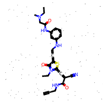 C#CCNC(=O)C(=C=c1sc(=C=CNc2cccc(NC(=O)CN(C)CC)c2)c(=O)n1CC)C#N